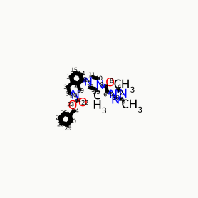 Cc1nc(C)n(CC(=O)N2CCN(c3cccc4c3CN(C(=O)OCc3ccccc3)CC4)CC2C)n1